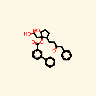 O=C(O)CC1(OC(=O)c2cccc(-c3ccccc3)c2)C(O)CCC1CCC(=O)Cc1ccccc1